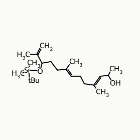 C=C(C)C(CC/C(C)=C/CCC(C)=CC(C)O)O[Si](C)(C)C(C)(C)C